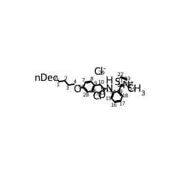 CCCCCCCCCCCCCCOc1ccc(CC(=O)Nc2ccccc2-c2scc[n+]2C)c(Cl)c1.[Cl-]